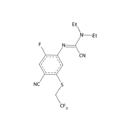 CCN(CC)/C(C#N)=N/c1cc(SCC(F)(F)F)c(C#N)cc1F